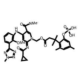 CNC(=O)c1cn(COC(=O)CC(C)(C)c2c(C)cc(C)cc2OP(=O)(O)O)/c(=N/C(=O)C2CC2)cc1Nc1cccc(-c2nnn(C)n2)c1OC